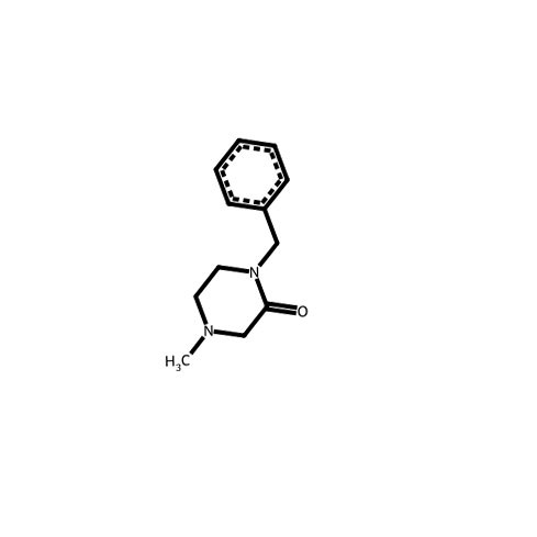 CN1CCN(Cc2ccccc2)C(=O)C1